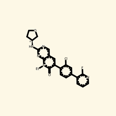 CCn1c(=O)c(-c2ccc(-c3cccnc3F)cc2Cl)cc2cnc(N[C@H]3CCOC3)nc21